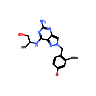 CCC[C@@H](CO)Nc1nc(N)nc2cn(Cc3ccc(Br)cc3OC)nc12